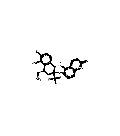 CC[C@@H]1C[C@@](O)(C(F)(F)F)[C@@H](Nc2cccc3[nH]c(=O)ccc23)c2ccc(F)c(O)c21